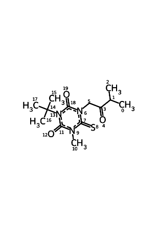 CC(C)C(=O)Cn1c(=S)n(C)c(=O)n(C(C)(C)C)c1=O